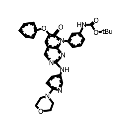 CC(C)(C)OC(=O)Nc1cccc(-n2c(=O)c(Oc3ccccc3)cc3cnc(Nc4ccc(N5CCOCC5)nc4)nc32)c1